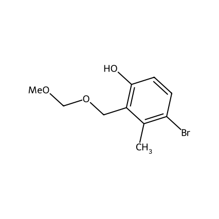 COCOCc1c(O)ccc(Br)c1C